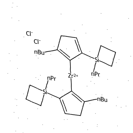 CCCCC1=[C]([Zr+2][C]2=C(CCCC)CC=C2[Si]2(CCC)CCC2)C([Si]2(CCC)CCC2)=CC1.[Cl-].[Cl-]